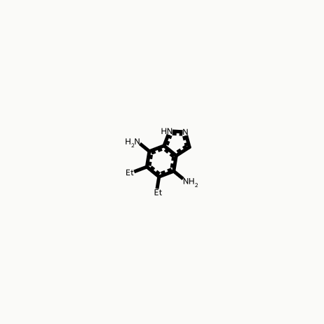 CCc1c(CC)c(N)c2[nH]ncc2c1N